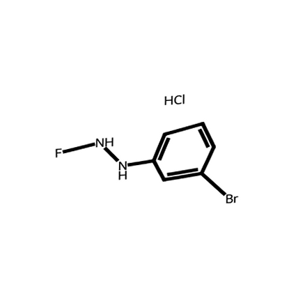 Cl.FNNc1cccc(Br)c1